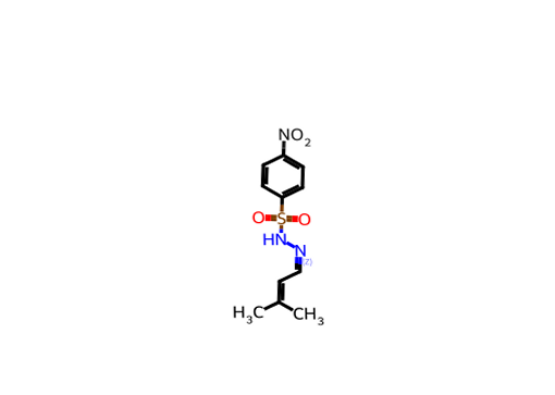 CC(C)=C/C=N\NS(=O)(=O)c1ccc([N+](=O)[O-])cc1